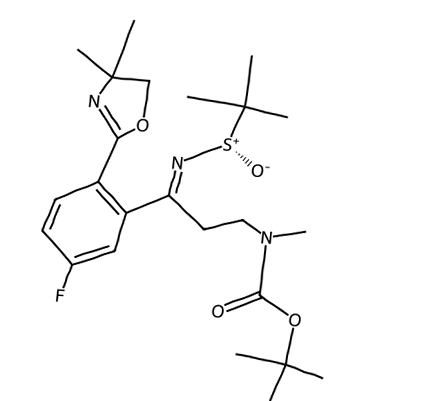 CN(CCC(=N[S@@+]([O-])C(C)(C)C)c1cc(F)ccc1C1=NC(C)(C)CO1)C(=O)OC(C)(C)C